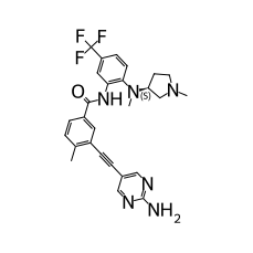 Cc1ccc(C(=O)Nc2cc(C(F)(F)F)ccc2N(C)[C@H]2CCN(C)C2)cc1C#Cc1cnc(N)nc1